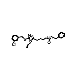 C=CCn1c(CCCCC(=O)NCc2ccccc2)nnc1SCc1cccc(Cl)c1